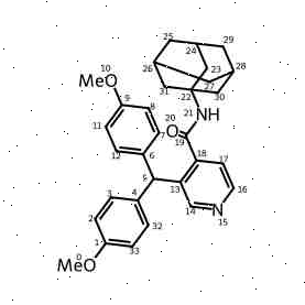 COc1ccc(C(c2ccc(OC)cc2)c2cnccc2C(=O)NC23CC4CC(CC(C4)C2)C3)cc1